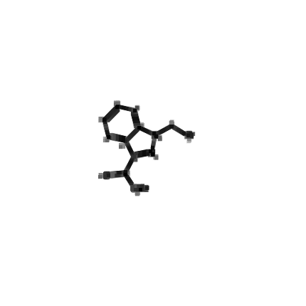 COC(=O)c1nn(CC(C)C)c2ccccc12